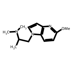 COc1ccc2c(ccn2CC(C)N(C)C)n1